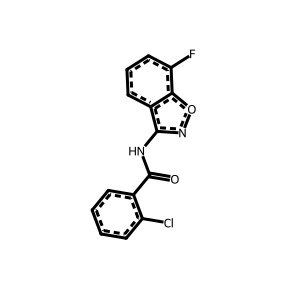 O=C(Nc1noc2c(F)cccc12)c1ccccc1Cl